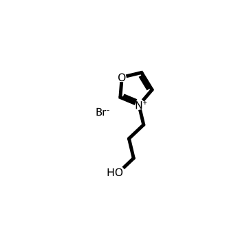 OCCC[n+]1ccoc1.[Br-]